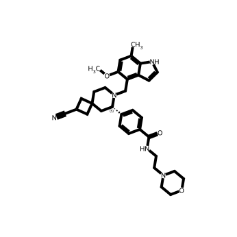 COc1cc(C)c2[nH]ccc2c1CN1CCC2(CC(C#N)C2)C[C@H]1c1ccc(C(=O)NCCN2CCOCC2)cc1